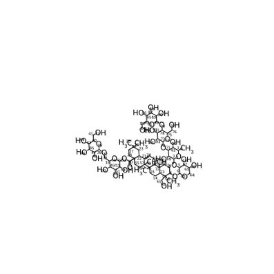 CC1OC(OC2C(OC3CCC4(C)C(CCC5(C)C4CC=C4C6CC(C)(C)CCC6(C(=O)OC6OC(COC7OC(CO)C(O)C(O)C7O)C(O)C(O)C6O)CCC45C)C3(C)CO)OCC(O)C2O)C(O)C(OC2OC(CO)C(OC3OC(CO)C(O)C(O)C3O)C(O)C2O)C1O